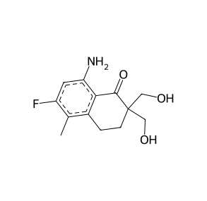 Cc1c(F)cc(N)c2c1CCC(CO)(CO)C2=O